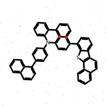 c1ccc(-c2ccccc2N(c2ccc(-c3cccc4ccccc34)cc2)c2ccc(-c3cccc4c3sc3c5ccccc5ccc43)cc2)cc1